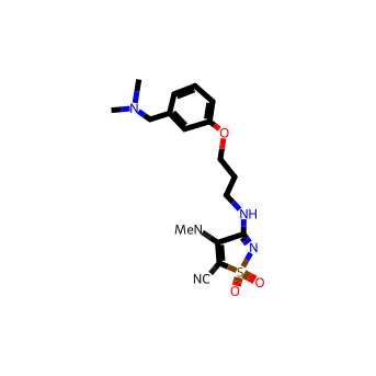 CNC1=C(C#N)S(=O)(=O)N=C1NCCCOc1cccc(CN(C)C)c1